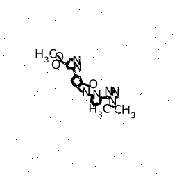 COC(=O)c1cnnc(-c2ccc3c(c2)C(=O)N(c2cccc(-c4nncn4C(C)C)n2)C3)c1